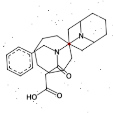 O=C(O)CC(=O)N(Cc1ccccc1)C1CC2CCCC(C1)N2C1CCCCCCC1